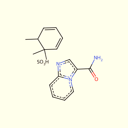 CC1C=CC=CC1(C)S(=O)(=O)O.NC(=O)c1cnc2ccccn12